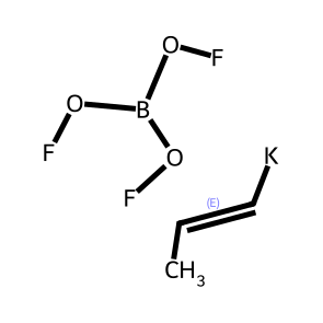 C/C=[CH]/[K].FOB(OF)OF